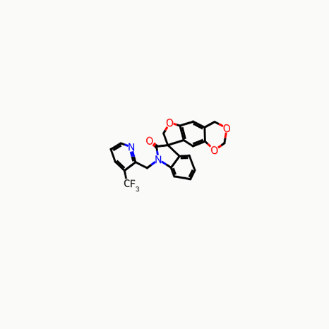 O=C1N(Cc2ncccc2C(F)(F)F)c2ccccc2C12COc1cc3c(cc12)OCOC3